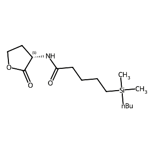 CCCC[Si](C)(C)CCCCC(=O)N[C@H]1CCOC1=O